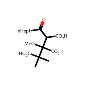 CCCCCCCC(=O)C(C(=O)O)C(OC)(C(=O)O)C(C)(C)C(=O)O